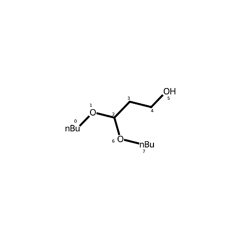 CCCCOC(CCO)OCCCC